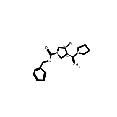 C=C([C@H]1CN(C(=O)OCc2ccccc2)C[C@H]1CC)N1CCCC1